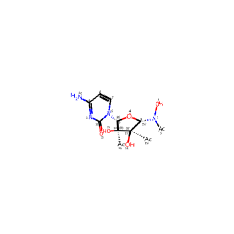 CC(=O)N(O)[C@H]1O[C@@H](n2ccc(N)nc2=O)[C@@](O)(C(C)=O)[C@@]1(O)C(C)=O